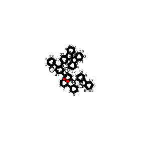 c1ccc(-c2ccccc2N(c2ccc3c(c2)oc2c(-c4ccc5c(c4)C4(c6ccccc6-c6ccccc64)c4ccccc4-5)c4c(cc23)oc2ccccc24)c2cccc3c2sc2ccccc23)cc1